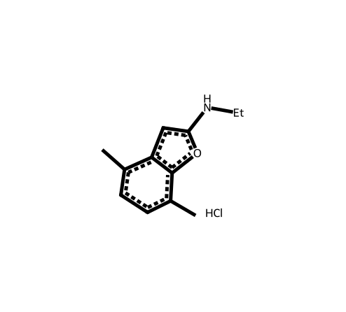 CCNc1cc2c(C)ccc(C)c2o1.Cl